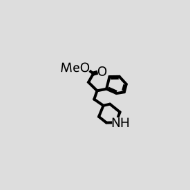 COC(=O)CC(CC1CCNCC1)c1ccccc1